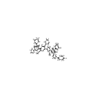 N#Cc1ccc(-c2ccccc2-c2ccc(C#N)c(-c3nc(-c4ccccc4)nc(-c4ccccc4)n3)c2)cc1C1=NC(c2cccc(-c3ccccc3)c2)NC(c2ccccc2)=N1